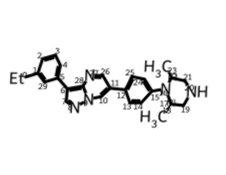 CCc1cccc(-c2cnn3cc(-c4ccc(N5[C@H](C)CNC[C@@H]5C)cc4)cnc23)c1